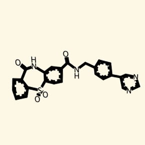 O=C(NCc1ccc(-c2cncnc2)cc1)c1ccc2c(c1)NC(=O)c1ccccc1S2(=O)=O